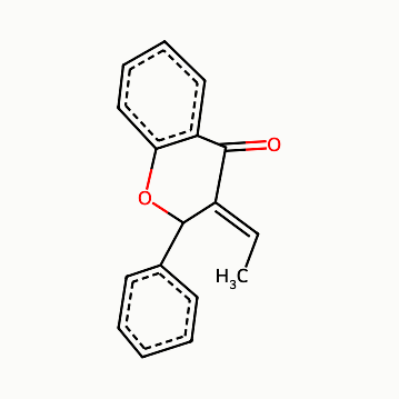 C/C=C1/C(=O)c2ccccc2OC1c1ccccc1